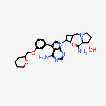 NC(=O)[C@@H]1[C@@H](O)CCN1CC1CC(n2cc(-c3cccc(OCC4CCCCO4)c3)c3c(N)ncnc32)C1